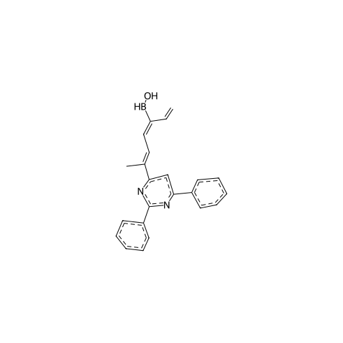 C=C/C(BO)=C\C=C(/C)c1cc(-c2ccccc2)nc(-c2ccccc2)n1